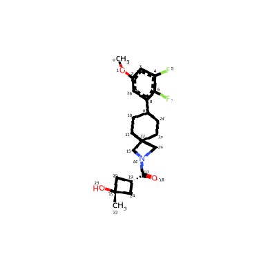 COc1cc(F)c(F)c(C2CCC3(CC2)CN(C(=O)[C@H]2C[C@@](C)(O)C2)C3)c1